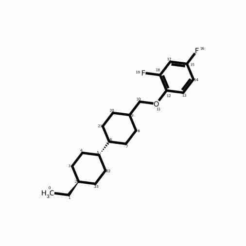 CC[C@H]1CC[C@H](C2CCC(COc3ccc(F)cc3F)CC2)CC1